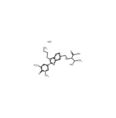 COCCn1c(-c2cc(C)c(=O)n(C)c2)nc2cc(CNC(C(=O)O)C(C)O)ccc21.Cl